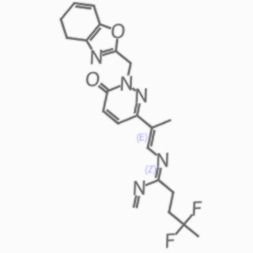 C=N/C(CCC(C)(F)F)=N\C=C(/C)c1ccc(=O)n(Cc2nc3c(o2)C=CCC3)n1